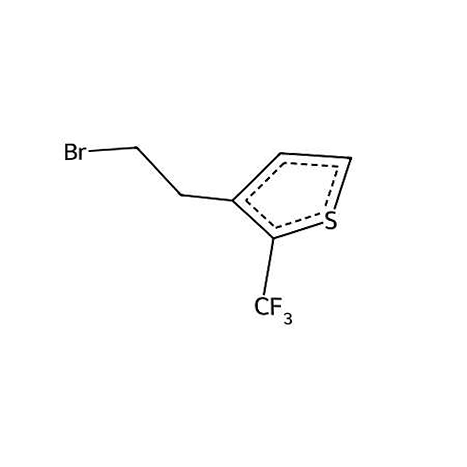 FC(F)(F)c1sccc1CCBr